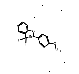 COc1ccc(COc2ccccc2C(F)(F)Br)cc1